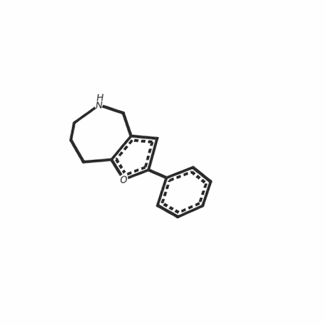 c1ccc(-c2cc3c(o2)CCCNC3)cc1